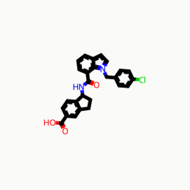 O=C(O)c1ccc2c(c1)CCC2NC(=O)c1cccc2ccn(Cc3ccc(Cl)cc3)c12